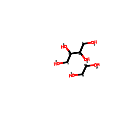 OCC(O)C(O)CO.OCCO